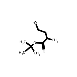 CC(CC[O])C(=O)OC(C)(C)C